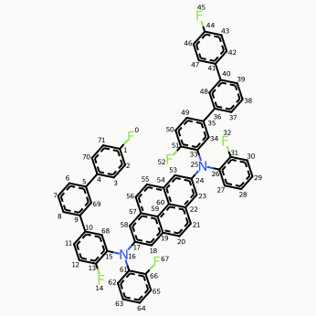 Fc1ccc(-c2cccc(-c3ccc(F)c(N(c4cc5ccc6cc(N(c7ccccc7F)c7cc(-c8cccc(-c9ccc(F)cc9)c8)ccc7F)cc7ccc(c4)c5c67)c4ccccc4F)c3)c2)cc1